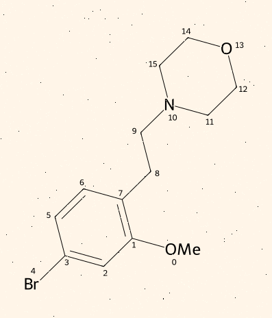 COc1cc(Br)ccc1CCN1CCOCC1